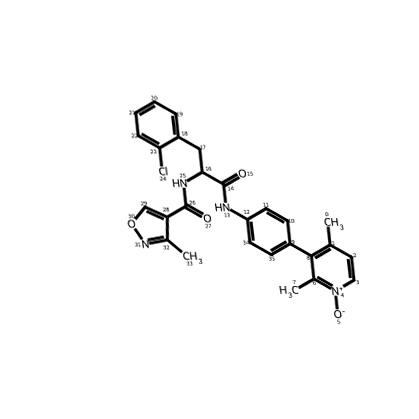 Cc1cc[n+]([O-])c(C)c1-c1ccc(NC(=O)C(Cc2ccccc2Cl)NC(=O)c2conc2C)cc1